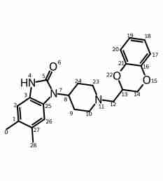 Cc1cc2[nH]c(=O)n(C3CCN(CC4COc5ccccc5O4)CC3)c2cc1C